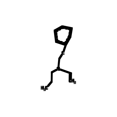 C=CN(CCC)CCc1ccccc1